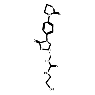 O=C1OCCN1c1ccc(N2C[C@H](CNC(=S)NCCO)OC2=O)cc1